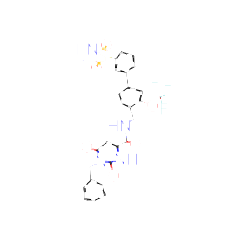 NS(=O)(=O)c1cccc(-c2ccc(CNC(=O)c3cc(=O)n(Cc4ccccc4)c(=O)[nH]3)c(OC(F)(F)F)c2)c1